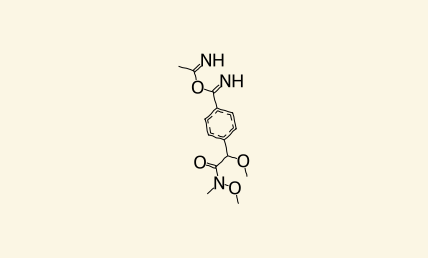 COC(C(=O)N(C)OC)c1ccc(C(=N)OC(C)=N)cc1